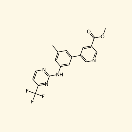 COC(=O)c1cncc(-c2cc(C)cc(Nc3nccc(C(F)(F)F)n3)c2)c1